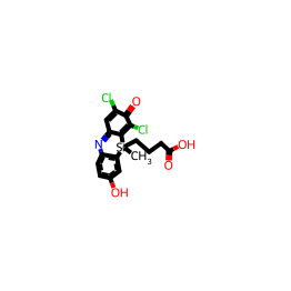 C[Si]1(CCCC(=O)O)C2=C(Cl)C(=O)C(Cl)=CC2=Nc2ccc(O)cc21